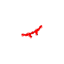 C=CC(=O)OCCCCOc1ccc(C(=O)Oc2ccc(C#Cc3ccc(C#Cc4ccc(OC(=O)C5=CCC(OCCCCOC(=O)C=C)C=C5)c(C(=O)OCC5CO5)c4)c(C)c3)cc2C(=O)OCC2CO2)cc1